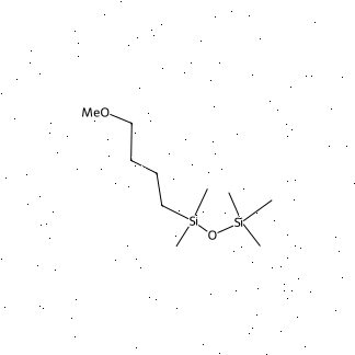 COCCCC[Si](C)(C)O[Si](C)(C)C